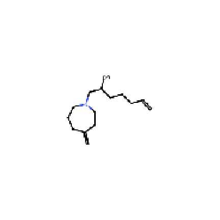 C=CCCCC(CCC)CN1CCCC(=C)CC1